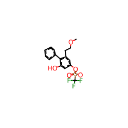 COCCc1cc(OS(=O)(=O)C(F)(F)F)cc(O)c1-c1ccccc1